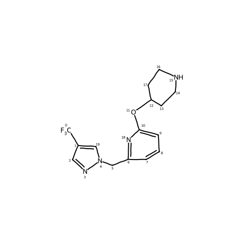 FC(F)(F)c1cnn(Cc2cccc(OC3CCNCC3)n2)c1